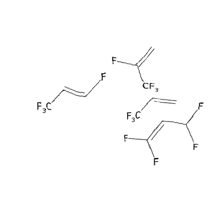 C=C(F)C(F)(F)F.C=CC(F)(F)F.FC(F)=CC(F)F.FC=CC(F)(F)F